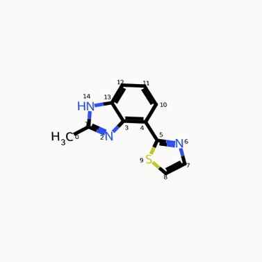 Cc1nc2c(-c3nccs3)cccc2[nH]1